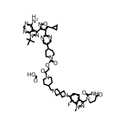 Cn1nc(N2CCC(=O)NC2=O)c2ccc(N3CC4(CN(CC5CCN(C(=O)COC(=O)N6CCC(c7cnc(-c8c(-c9nn(C(C)(C)C)c%10ncnc(N)c9%10)noc8C8CC8)nc7)CC6)CC5)C4)C3)c(F)c21.O=CO